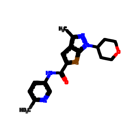 Cc1nn(C2CCOCC2)c2sc(C(=O)Nc3ccc(C(=O)O)nc3)cc12